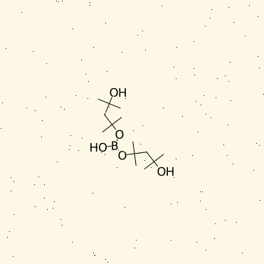 CC(C)(O)CC(C)(C)OB(O)OC(C)(C)CC(C)(C)O